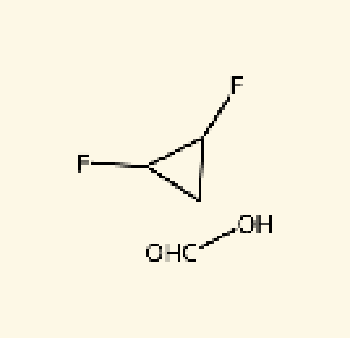 FC1CC1F.O=CO